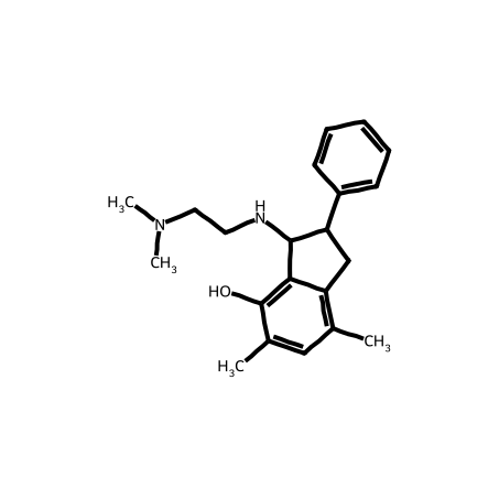 Cc1cc(C)c2c(c1O)C(NCCN(C)C)C(c1ccccc1)C2